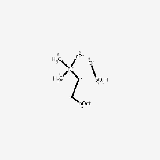 CCCCCCCCCC[N+](C)(C)CCC.O=S(=O)([O-])O